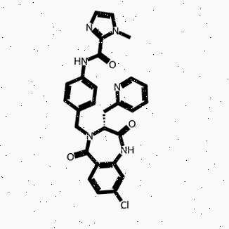 Cn1ccnc1C(=O)Nc1ccc(CN2C(=O)c3ccc(Cl)cc3NC(=O)[C@H]2Cc2ccccn2)cc1